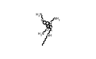 CCCCCCCCNCCC[C@@H](C)[C@H]1CC[C@H]2C3[C@H](OCCCN)CC4C[C@H](OCCCN)CC[C@]4(C)[C@H]3C[C@H](OCCCN)C12C